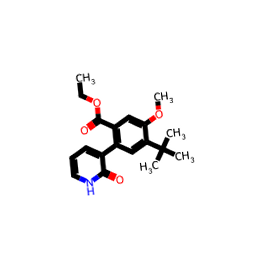 CCOC(=O)c1cc(OC)c(C(C)(C)C)cc1-c1ccc[nH]c1=O